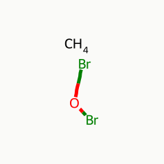 BrOBr.C